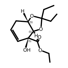 CCOC(=O)[C@]1(O)C=CC[C@@H]2OC(CC)(CC)O[C@@H]21